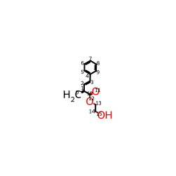 C=C(C=Cc1ccccc1)C(=O)OCCO